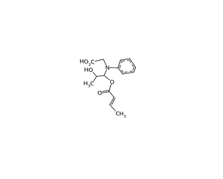 CC=CC(=O)OC(C(C)O)N(CC(=O)O)c1ccccc1